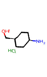 Cl.N[C@H]1CC[C@@H](CO)CC1